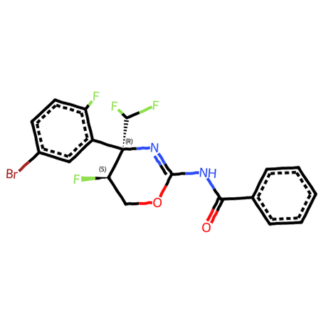 O=C(NC1=N[C@@](c2cc(Br)ccc2F)(C(F)F)[C@H](F)CO1)c1ccccc1